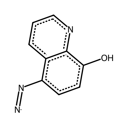 [N]=Nc1ccc(O)c2ncccc12